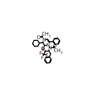 CC(=O)N1C=C(c2ccccc2)N(N(C(C)=O)C(Cc2ccccc2)C(=O)C(F)(F)F)C(=O)C1C1CCCCC1